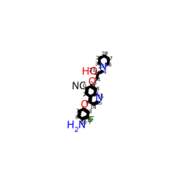 N#Cc1cc2c(Oc3ccc(N)c(F)c3)ccnc2cc1OCC(O)CN1CCCCC1